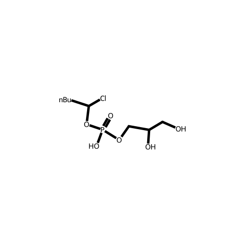 CCCCC(Cl)OP(=O)(O)OCC(O)CO